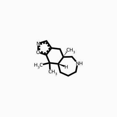 CC1(C)c2oncc2C[C@@]2(C)CNCCC[C@H]12